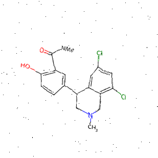 CNC(=O)c1cc(C2CN(C)Cc3c(Cl)cc(Cl)cc32)ccc1O